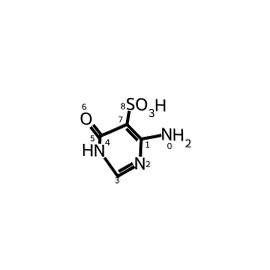 Nc1nc[nH]c(=O)c1S(=O)(=O)O